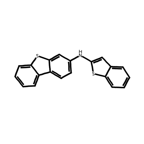 c1ccc2sc(Nc3ccc4c(c3)sc3ccccc34)cc2c1